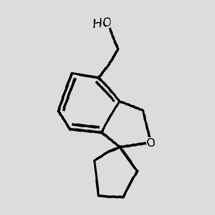 OCc1cccc2c1COC21CCCC1